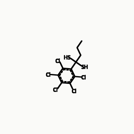 CCCC(S)(S)c1c(Cl)c(Cl)c(Cl)c(Cl)c1Cl